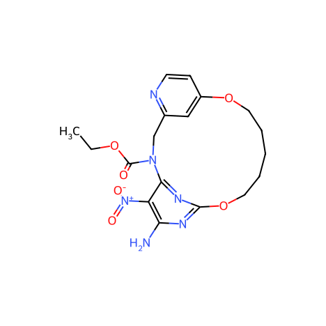 CCOC(=O)N1Cc2cc(ccn2)OCCCCCOc2nc(N)c([N+](=O)[O-])c1n2